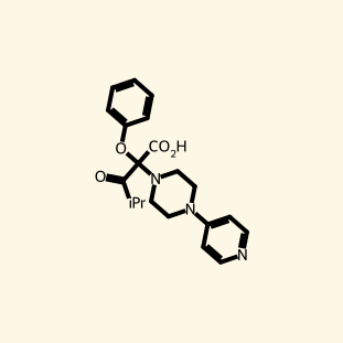 CC(C)C(=O)C(Oc1ccccc1)(C(=O)O)N1CCN(c2ccncc2)CC1